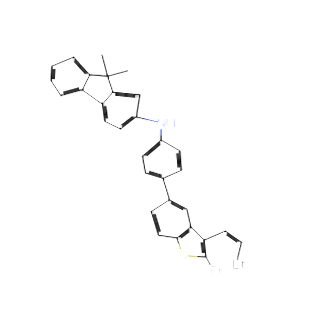 CC/C=C\c1c(CC)sc2ccc(-c3ccc(Nc4ccc5c(c4)C(C)(C)c4ccccc4-5)cc3)cc12